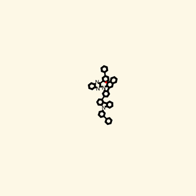 c1ccc(-c2cccc(-c3nc4ccccc4nc3-n3c4cc(-c5cccc6c5c5ccccc5n6-c5cccc(-c6ccccc6)c5)ccc4c4cc5ccccc5cc43)c2)cc1